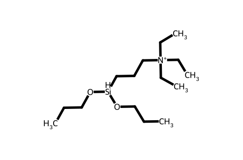 CCCO[SiH](CCC[N+](CC)(CC)CC)OCCC